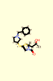 CC[C@H](O)[C@@H]1C(=O)N2C=C(SC3CCN(Cc4ccccc4)C3)S[C@H]12